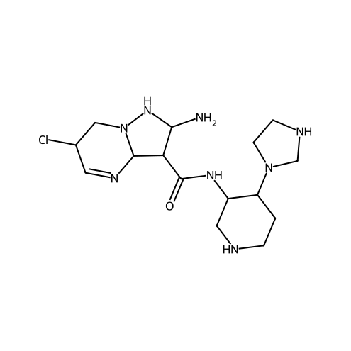 NC1NN2CC(Cl)C=NC2C1C(=O)NC1CNCCC1N1CCNC1